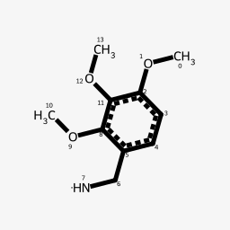 COc1ccc(C[NH])c(OC)c1OC